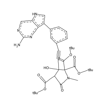 CN1C(=O)C(C(=O)OC(C)(C)C)C(O)(C#Cc2cccc(-c3c[nH]c4cnc(N)nc34)c2)C1(C(=O)OC(C)(C)C)C(=O)OC(C)(C)C